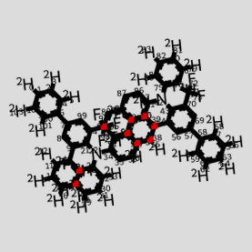 [2H]c1c([2H])c([2H])c(-c2cc(-c3c([2H])c([2H])c([2H])c([2H])c3[2H])c(N(c3c([2H])c([2H])c([2H])c([2H])c3[2H])c3ccc4ccc5c(N(c6c(-c7c([2H])c([2H])c([2H])c([2H])c7[2H])cc(-c7c([2H])c([2H])c([2H])c([2H])c7[2H])cc6C(F)(F)F)c6c([2H])c([2H])c([2H])c([2H])c6[2H])ccc6ccc3c4c65)c(C(F)(F)F)c2)c([2H])c1[2H]